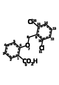 O=C(O)c1ccccc1OCc1c(Cl)cccc1Cl